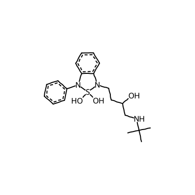 CC(C)(C)NCC(O)CCN1c2ccccc2N(c2ccccc2)S1(O)O